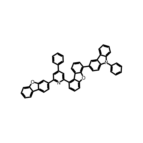 c1ccc(-c2cc(-c3ccc4c(c3)oc3ccccc34)nc(-c3cccc4oc5c(-c6ccc7c(c6)c6ccccc6n7-c6ccccc6)cccc5c34)c2)cc1